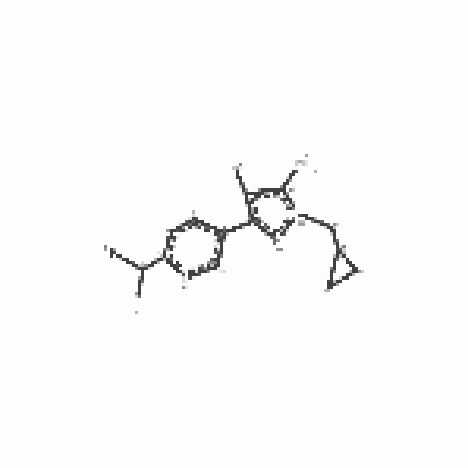 Cc1c(-c2ccc(C(F)F)nc2)nn(CC2CC2)c1N